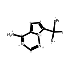 CCCC(C)(CC)c1ccc2c(N)ncnn12